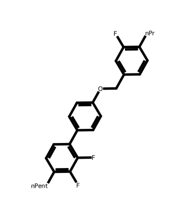 CCCCCc1ccc(-c2ccc(OCc3ccc(CCC)c(F)c3)cc2)c(F)c1F